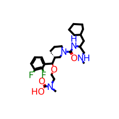 CNCC(CC1CCCCC1)NC(=O)N1CCC[C@@H]([C@@H](OCCN(C)C(=O)O)c2cccc(F)c2F)C1